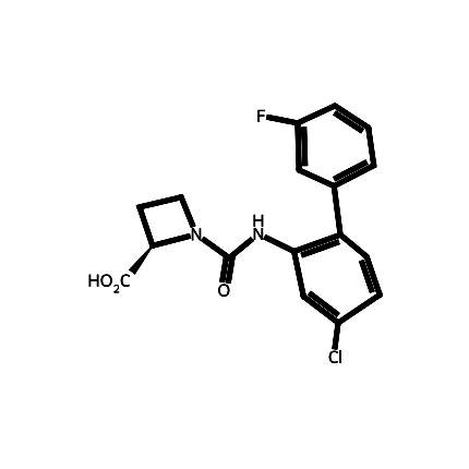 O=C(O)[C@H]1CCN1C(=O)Nc1cc(Cl)ccc1-c1cccc(F)c1